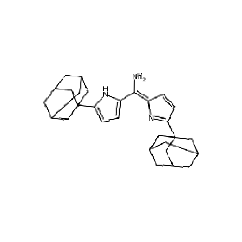 N/C(=C1\C=CC(C23CC4CC(CC(C4)C2)C3)=N1)c1ccc(C23CC4CC(CC(C4)C2)C3)[nH]1